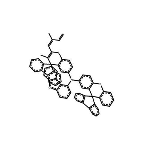 C=C/C(C)=C\C1=C(C)C2(c3cc(N(c4ccc5c(c4)C4(c6ccccc6S5)c5ccccc5-c5ccccc54)c4cccc5oc6ccccc6c45)ccc3S1)c1ccccc1-c1ccccc12